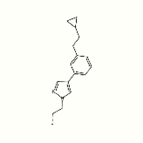 FCCn1cc(-c2cccc(CCC3CC3)c2)cn1